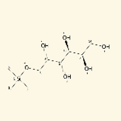 C[Si](C)(C)OC[C@H](O)[C@@H](O)[C@@H](O)[C@H](O)CO